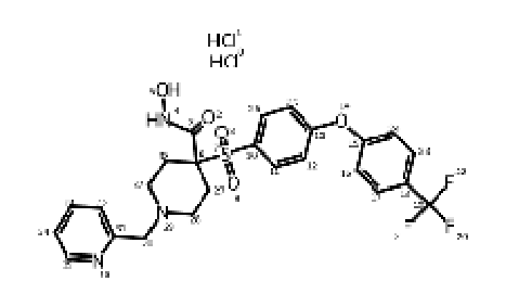 Cl.Cl.O=C(NO)C1(S(=O)(=O)c2ccc(Oc3ccc(C(F)(F)F)cc3)cc2)CCN(Cc2ccccn2)CC1